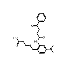 CN(C)c1ccc(CSCCC(=O)O)c(NC(=S)CCC(=O)c2ccccc2)c1